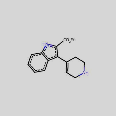 CCOC(=O)c1[nH]c2ccccc2c1C1=CCNCC1